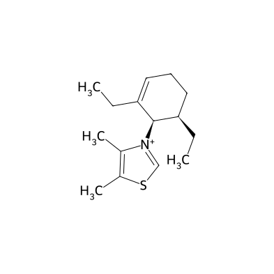 CCC1=CCC[C@@H](CC)[C@H]1[n+]1csc(C)c1C